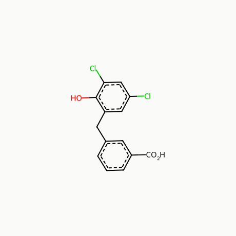 O=C(O)c1cccc(Cc2cc(Cl)cc(Cl)c2O)c1